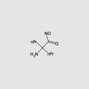 CCCC(N)(CCC)C(=O)N=O